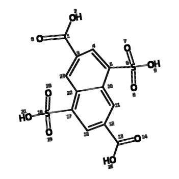 O=C(O)c1cc(S(=O)(=O)O)c2cc(C(=O)O)cc(S(=O)(=O)O)c2c1